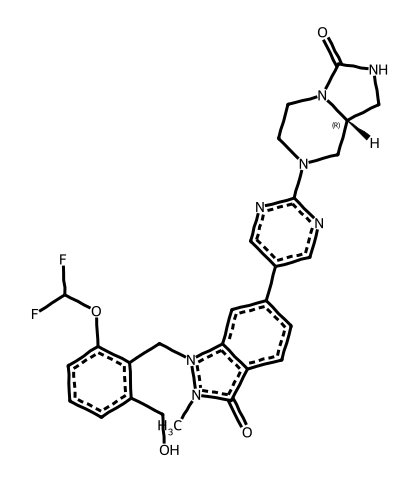 Cn1c(=O)c2ccc(-c3cnc(N4CCN5C(=O)NC[C@@H]5C4)nc3)cc2n1Cc1c(CO)cccc1OC(F)F